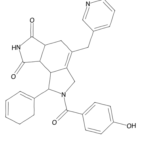 O=C1NC(=O)C2C1CC(Cc1cccnc1)=C1CN(C(=O)c3ccc(O)cc3)C(C3=CC=CCC3)C12